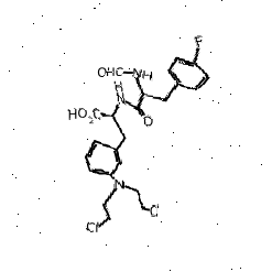 O=CN[C@@H](Cc1ccc(F)cc1)C(=O)N[C@@H](Cc1cccc(N(CCCl)CCCl)c1)C(=O)O